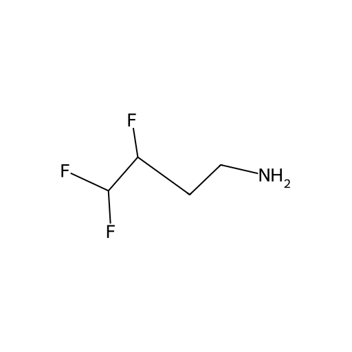 NCCC(F)C(F)F